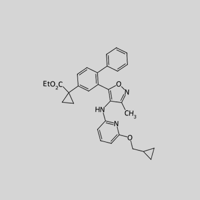 CCOC(=O)C1(c2ccc(-c3ccccc3)c(-c3onc(C)c3Nc3cccc(OCC4CC4)n3)c2)CC1